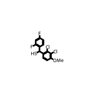 COc1ccc(C(S)c2ccc(F)cc2F)c(Cl)c1Cl